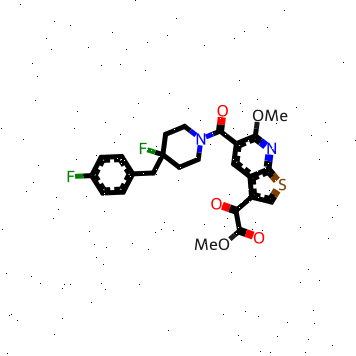 COC(=O)C(=O)c1csc2nc(OC)c(C(=O)N3CCC(F)(Cc4ccc(F)cc4)CC3)cc12